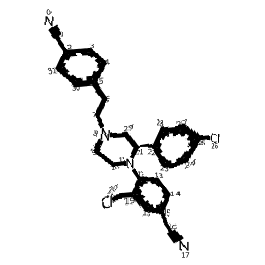 N#Cc1ccc(CCN2CCN(c3ccc(C#N)cc3Cl)[C@H](c3ccc(Cl)cc3)C2)cc1